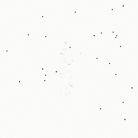 COc1cc(C)n(-c2nc(-n3cnc4cc(Nc5ccc(C)nn5)ccc43)ccc2C(=O)O)n1